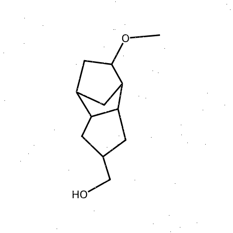 COC1CC2CC1C1CC(CO)CC21